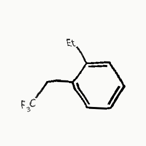 CCc1ccccc1CC(F)(F)F